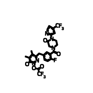 Cc1c(Cc2ccc(F)c(C(=O)N3CCN(c4cc(C(F)(F)F)ccn4)C(=O)C3)c2)nn(OC(=O)C(F)(F)F)c(=O)c1C